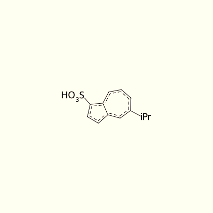 CC(C)c1cccc2c(S(=O)(=O)O)ccc-2c1